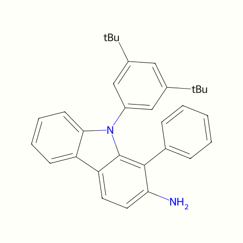 CC(C)(C)c1cc(-n2c3ccccc3c3ccc(N)c(-c4ccccc4)c32)cc(C(C)(C)C)c1